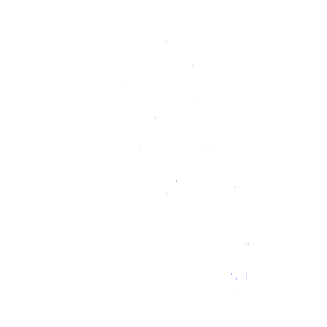 COc1cccc(Cl)c1-c1cccc2c1CCC(CN)C2